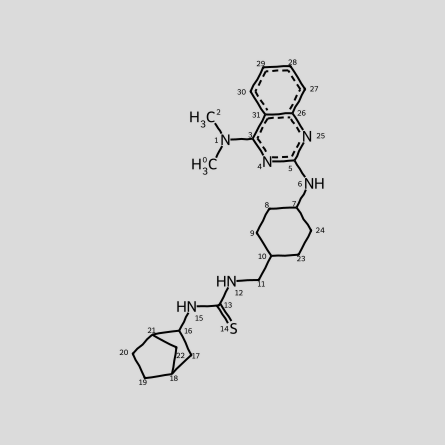 CN(C)c1nc(NC2CCC(CNC(=S)NC3CC4CCC3C4)CC2)nc2ccccc12